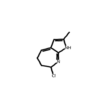 Cc1cc2c([nH]1)=NC(Cl)CCC=2